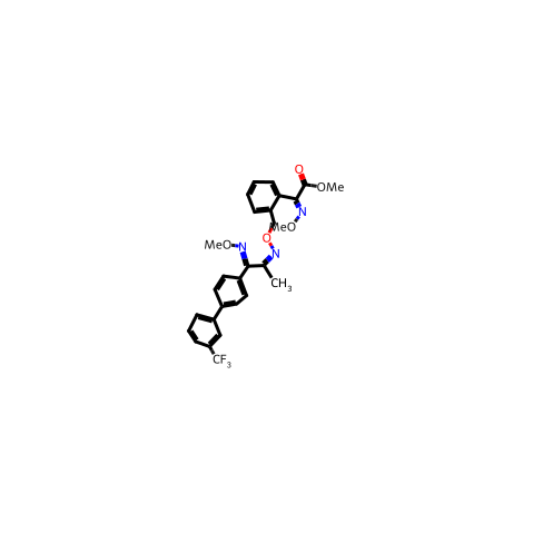 CON=C(C(C)=NOCc1ccccc1C(=NOC)C(=O)OC)c1ccc(-c2cccc(C(F)(F)F)c2)cc1